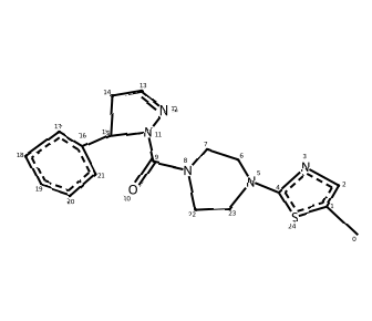 Cc1cnc(N2CCN(C(=O)N3N=CCC3c3ccccc3)CC2)s1